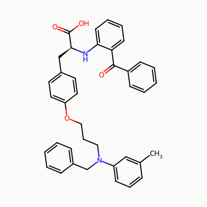 Cc1cccc(N(CCCOc2ccc(C[C@H](Nc3ccccc3C(=O)c3ccccc3)C(=O)O)cc2)Cc2ccccc2)c1